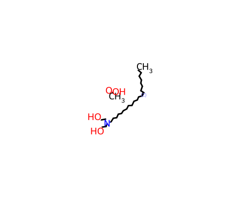 CC(=O)O.CCCCCCCC/C=C\CCCCCCCCCCCCN(CCO)CCO